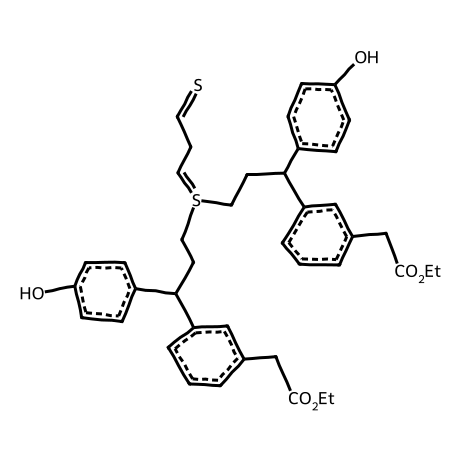 CCOC(=O)Cc1cccc(C(CCS(=CCC=S)CCC(c2ccc(O)cc2)c2cccc(CC(=O)OCC)c2)c2ccc(O)cc2)c1